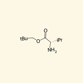 CC(C)[C@H](N)C(=O)OCC(C)(C)C